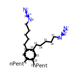 [CH2]CCCCc1cc(CCCCCN=[N+]=[N-])c(CCCCCN=[N+]=[N-])cc1CCCC[CH2]